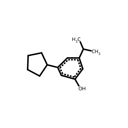 CC(C)c1cc(O)cc(C2CCCC2)c1